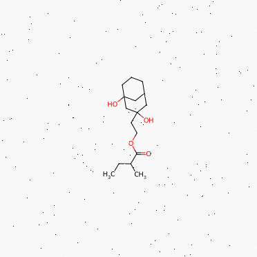 CCC(C)C(=O)OCCC1(O)CC2CCCC(O)(C2)C1